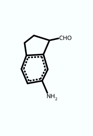 Nc1ccc2c(c1)C(C=O)CC2